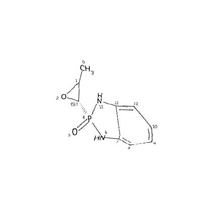 CC1O[C@H]1P1(=O)Nc2ccccc2N1